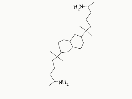 CC(N)CCCC(C)(C)C1CCC2CC(C(C)(C)CCCC(C)N)CCC2C1